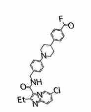 CCc1nc2ccc(Cl)cn2c1C(=O)NCc1ccc(N2CCC(c3ccc(C(=O)F)cc3)CC2)cc1